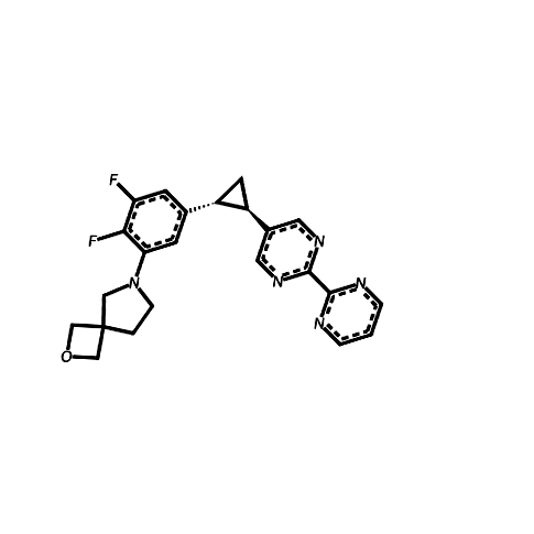 Fc1cc([C@@H]2C[C@H]2c2cnc(-c3ncccn3)nc2)cc(N2CCC3(COC3)C2)c1F